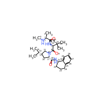 CN[C@@H](C)C(=O)N[C@H](C(=O)N1C[C@@H](C(C)C)C[C@H]1C(=O)N[C@@H]1CCCc2ccccc21)C(C)(C)C